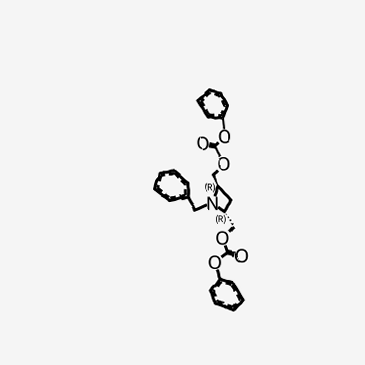 O=C(OC[C@H]1C[C@H](COC(=O)Oc2ccccc2)N1Cc1ccccc1)Oc1ccccc1